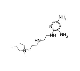 CCC[N+](C)(CC)CCCNCCNc1ncc(N)cc1N